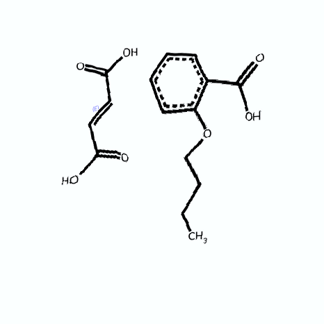 CCCCOc1ccccc1C(=O)O.O=C(O)/C=C/C(=O)O